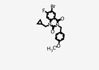 COc1ccc(Cn2c(=O)c3cc(Br)c(F)cc3n(CC3CC3)c2=O)cc1